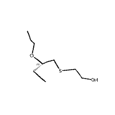 CCO[C@@H](CC)CSCCO